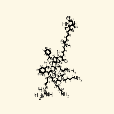 CC(=O)N(CCCCN)CC(=O)N(CCCCN)CC(=O)N(CCCCNC(=N)N)CC(=O)N(CC(=O)N(CCCCN)CC(=O)N(CC(=O)N[C@@H](CCCCNC(=O)CCCCC1SC[C@@H]2CC(=O)N[C@H]12)C(N)=O)[C@@H](C)c1ccccc1)[C@@H](C)c1ccccc1